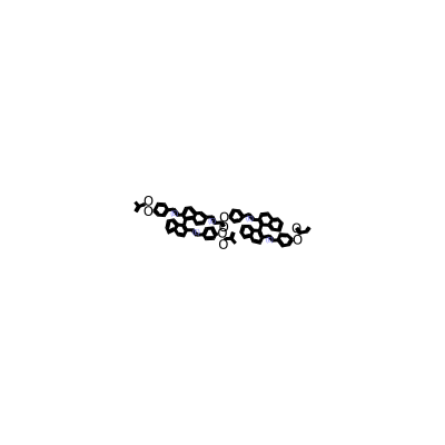 C=CC(=O)Oc1ccc(/C=C/c2ccc3ccccc3c2-c2c(/C=C/c3ccc(OC(=O)/C=C/c4ccc5c(-c6c(/C=C/c7ccc(OC(=O)C(=C)C)cc7)ccc7ccccc67)c(/C=C/c6ccc(OC(=O)C(=C)C)cc6)ccc5c4)cc3)ccc3ccccc23)cc1